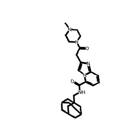 CN1CCN(C(=O)Cc2cn3c(C(=O)NCC45CC6CC(CC(C6)C4)C5)cccc3n2)CC1